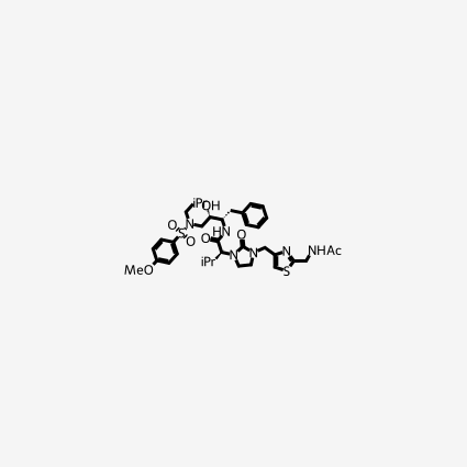 COc1ccc(S(=O)(=O)N(CC(C)C)C[C@H](O)[C@H](Cc2ccccc2)NC(=O)[C@H](C(C)C)N2CCN(Cc3csc(CNC(C)=O)n3)C2=O)cc1